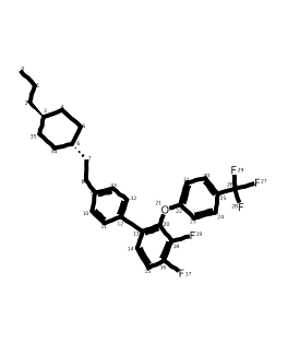 CCC[C@H]1CC[C@H](CCc2ccc(-c3ccc(F)c(F)c3Oc3ccc(C(F)(F)F)cc3)cc2)CC1